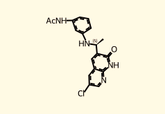 CC(=O)Nc1cccc(N[C@@H](C)c2cc3cc(Cl)cnc3[nH]c2=O)c1